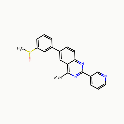 CNc1nc(-c2cccnc2)nc2ccc(-c3cccc([S+](C)[O-])c3)cc12